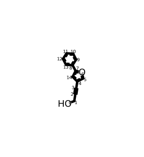 OCC#Cc1coc(-c2ccccc2)c1